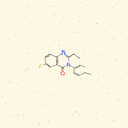 C/C=C(\C=C/CC)n1c(CC)nc2ccc(F)cc2c1=O